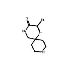 CCC1OC2(CCNCC2)CNC1=O